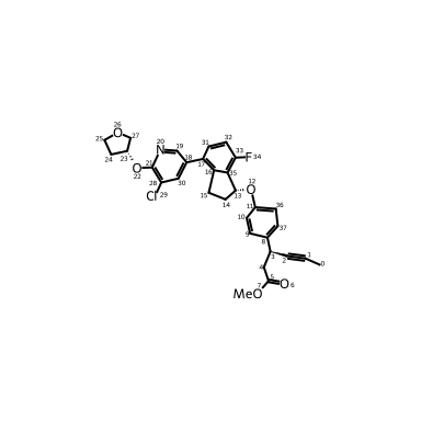 CC#C[C@@H](CC(=O)OC)c1ccc(O[C@@H]2CCc3c(-c4cnc(O[C@@H]5CCOC5)c(Cl)c4)ccc(F)c32)cc1